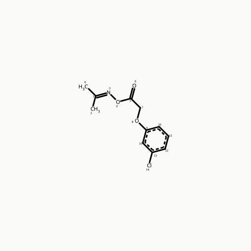 CC(C)=NOC(=O)COc1cccc(Cl)c1